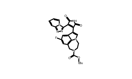 CC(C)(C)OC(=O)N1CCn2cc(C3=C(c4nnc5ccccn45)C(=O)NC3=O)c3cc(F)cc(c32)C1